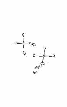 O=S(=O)([O-])[O-].O=S(=O)([O-])[O-].[Mg+2].[Zn+2]